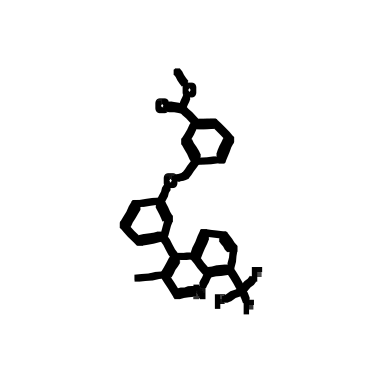 COC(=O)c1cccc(COc2cccc(-c3c(C)cnc4c(C(F)(F)F)cccc34)c2)c1